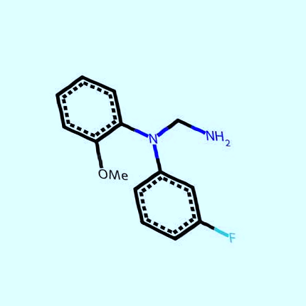 COc1ccccc1N(CN)c1cccc(F)c1